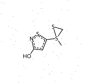 CS1(c2cc(O)ns2)CS1